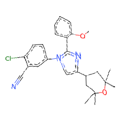 COc1ccccc1-c1nc(C2CC(C)(C)OC(C)(C)C2)cn1-c1ccc(Cl)c(C#N)c1